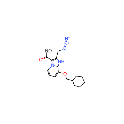 [N-]=[N+]=NCC1=C(C(=O)N=O)N2C=CC=C(OCC3CCCCC3)C2N1